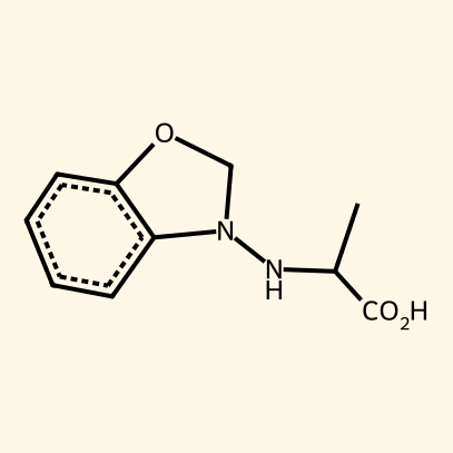 CC(NN1COc2ccccc21)C(=O)O